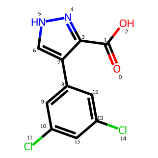 O=C(O)c1n[nH]cc1-c1cc(Cl)cc(Cl)c1